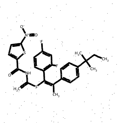 C=C(NC(=O)c1ccc([N+](=O)[O-])s1)S/C(=C(\C)c1ccc(C(C)(C)CC)cc1)c1ccc(F)cc1F